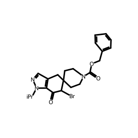 CC(C)n1ncc2c1C(=O)C(Br)C1(CCN(C(=O)OCc3ccccc3)CC1)C2